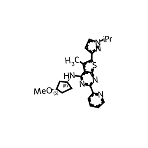 CO[C@H]1CC[C@@H](Nc2nc(-c3ccccn3)nc3sc(-c4ccn(C(C)C)n4)c(C)c23)C1